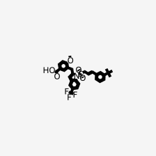 COc1ccc(C(=O)O)cc1Cc1cc2cc(C(F)(F)F)ccc2n1S(=O)(=O)CC=Cc1cccc(C(C)(C)C)c1